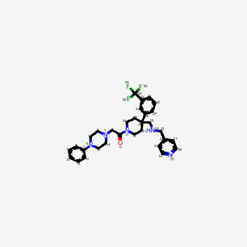 O=C(CN1CCN(c2ccccc2)CC1)N1CCC(CNCc2ccncc2)(c2cccc(C(F)(F)F)c2)CC1